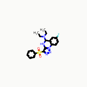 CCN(CC)C1Nc2c(S(=O)(=O)c3ccccc3)nnn2-c2ccc(F)cc21